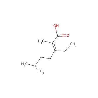 CCC(CCC(C)C)=C(C)C(=O)O